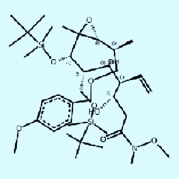 C=C[C@H]([C@@H](O)[C@H](CO[Si](C)(C)C(C)(C)C)[C@H](O[Si](C)(C)C(C)(C)C)C1(C)O[C@@H]1[C@@H](C)COCc1ccc(OC)cc1)[C@@H](O)CC(=O)N(C)OC